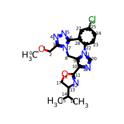 COCc1nnc2n1Cc1c(C3=NC(C(C)C)CO3)ncn1-c1ccc(Cl)cc1-2